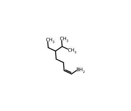 B/C=C\CCC(CC)C(C)C